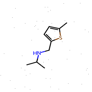 Cc1ccc(CNC(C)C)s1